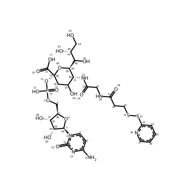 Nc1ccn([C@@H]2O[C@H](COP(=O)(O)O[C@@]3(C(=O)O)CC(O)[C@@H](NC(=O)CNC(=O)CCSSc4ccccn4)[C@H](C(O)[C@H](O)CO)O3)[C@@H](O)[C@H]2O)c(=O)n1